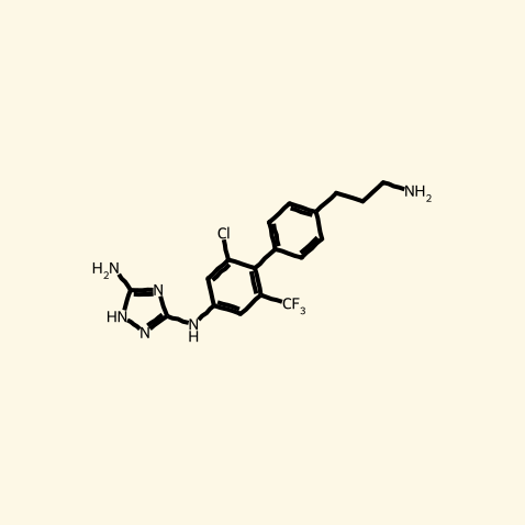 NCCCc1ccc(-c2c(Cl)cc(Nc3n[nH]c(N)n3)cc2C(F)(F)F)cc1